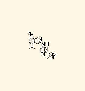 [2H]c1ccc(C(C)C)c2cc(Nc3ccnc(-c4cn(C)nc4C)n3)ncc12